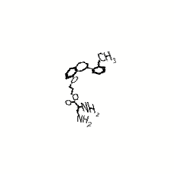 CCc1ccccc1C1=Cc2c(cccc2OCCCOC(=O)C(N)CN)CCC1